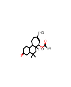 CCCC(=O)OC1C=C(C=O)CCC2C3CCC(=O)CC3C(C)(C)CC12C=O